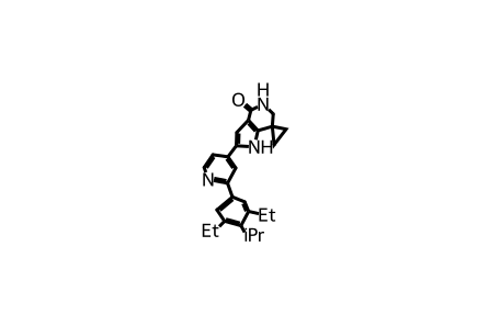 CCc1cc(-c2cc(-c3cc4c([nH]3)C3(CC3)CNC4=O)ccn2)cc(CC)c1C(C)C